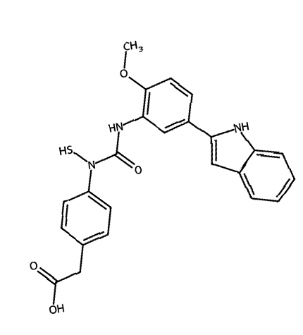 COc1ccc(-c2cc3ccccc3[nH]2)cc1NC(=O)N(S)c1ccc(CC(=O)O)cc1